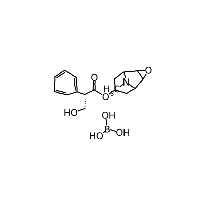 CN1C2CC(OC(=O)[C@H](CO)c3ccccc3)CC1C1OC12.OB(O)O